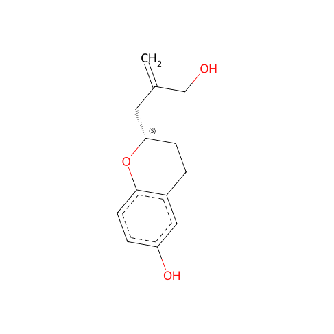 C=C(CO)C[C@@H]1CCc2cc(O)ccc2O1